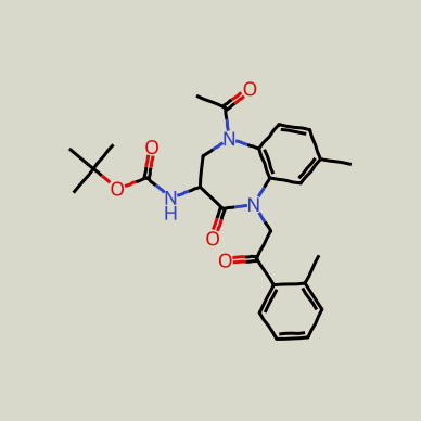 CC(=O)N1CC(NC(=O)OC(C)(C)C)C(=O)N(CC(=O)c2ccccc2C)c2cc(C)ccc21